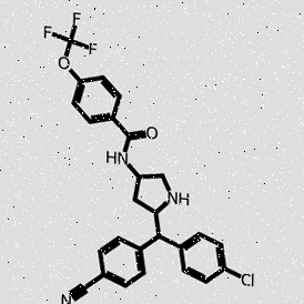 N#Cc1ccc(C(c2ccc(Cl)cc2)C2CC(NC(=O)c3ccc(OC(F)(F)F)cc3)CN2)cc1